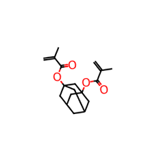 C=C(C)C(=O)OC12CC3CC(C1)CC(OC(=O)C(=C)C)(C3)C2